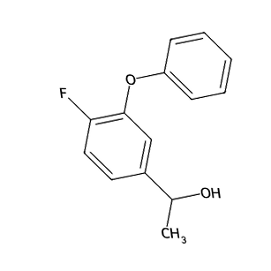 CC(O)c1ccc(F)c(Oc2ccccc2)c1